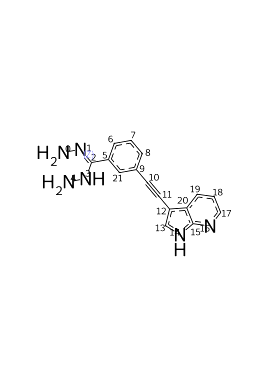 N/N=C(\NN)c1cccc(C#Cc2c[nH]c3ncccc23)c1